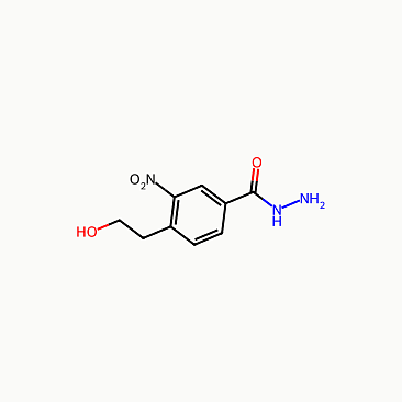 NNC(=O)c1ccc(CCO)c([N+](=O)[O-])c1